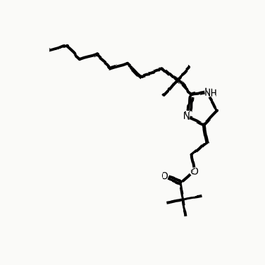 CCCCCCCCC(C)(C)C1=NC(CCOC(=O)C(C)(C)C)CN1